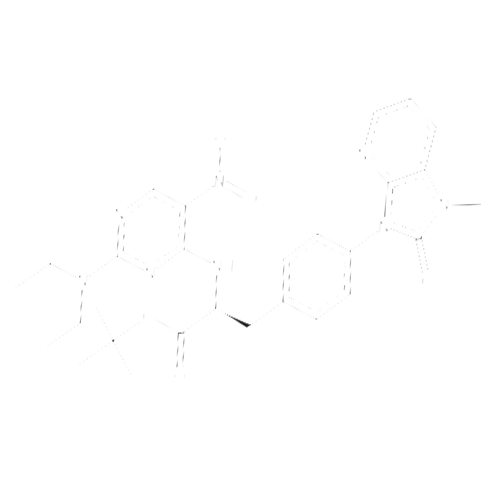 CCN(CC)c1ncc([N+](=O)[O-])c(N[C@@H](Cc2ccc(-n3c(=O)n(C)c4cccnc43)cc2)C(=O)OC(C)(C)C)n1